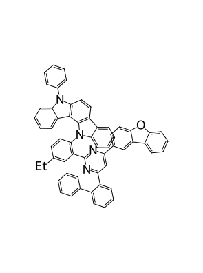 CCc1ccc(-n2c3ccccc3c3ccc4c(c5ccccc5n4-c4ccccc4)c32)c(-c2nc(-c3ccc4oc5ccccc5c4c3)cc(-c3ccccc3-c3ccccc3)n2)c1